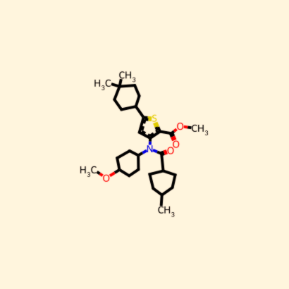 COC(=O)c1sc(C2CCC(C)(C)CC2)cc1N(C(=O)C1CCC(C)CC1)C1CCC(OC)CC1